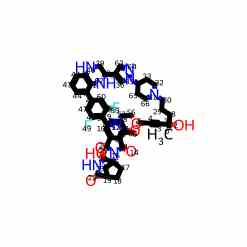 CC(O)(C#CCOc1cccc2c1C(=O)N(C13CCC(C1)C(=O)NC3O)C2=O)CCCN1CCC(n2cc(C3CNc4cccc(-c5cc(F)c(CN6CCOCC6)c(F)c5)c4N3)cn2)CC1